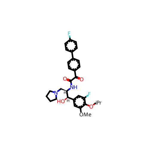 COc1cc([C@@H](O)[C@@H](CN2CCCC2)NC(=O)C(=O)c2ccc(-c3ccc(F)cc3)cc2)cc(F)c1OC(C)C